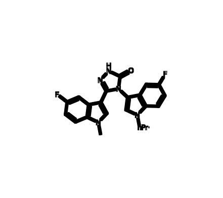 CC[CH]n1cc(-n2c(-c3cn(C)c4ccc(F)cc34)n[nH]c2=O)c2cc(F)ccc21